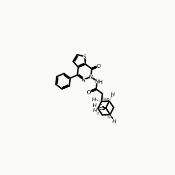 CC1(C)[C@H]2CC[C@@H](CC(=O)Nn3nc(-c4ccccc4)c4ccsc4c3=O)[C@H]1C2